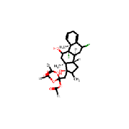 CCC(=O)OC(C[C@@]1(O)C(C)C[C@H]2[C@@H]3CC(F)C4=CCC=C[C@]4(C)[C@@]3(F)C(O)C[C@@]21C)(OC(=O)CC)OC(=O)CC